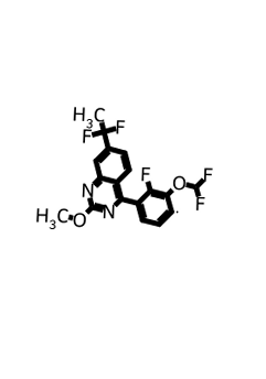 COc1nc(-c2cc[c]c(OC(F)F)c2F)c2ccc(C(C)(F)F)cc2n1